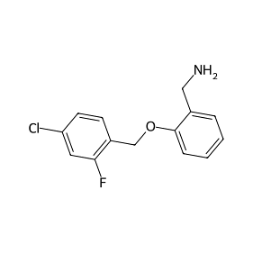 NCc1ccccc1OCc1ccc(Cl)cc1F